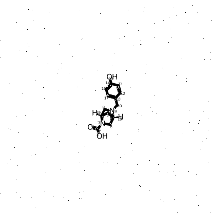 O=C(O)N1C[C@@H]2C[C@H]1CN2Cc1ccc(O)cc1